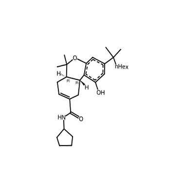 CCCCCCC(C)(C)c1cc(O)c2c(c1)OC(C)(C)[C@@H]1CC=C(C(=O)NC3CCCC3)C[C@@H]21